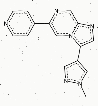 Cn1cc(-c2cnc3cnc(-c4ccncc4)cn23)cn1